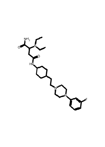 CCN(CC)C(CC(=O)NC1CCC(CCN2CCN(c3cccc(F)c3)CC2)CC1)C(N)=O